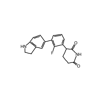 O=C1CCC(c2cccc(-c3ccc4c(c3)CCN4)c2F)C(=O)N1